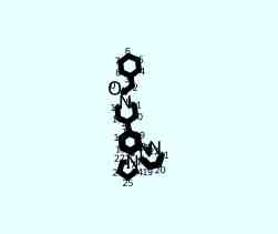 O=C(CC1CCCCC1)N1CCC(c2ccc([N+]3(c4cccnn4)CCCC3)cc2)CC1